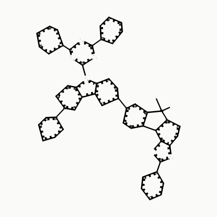 CC1(C)c2cc(-c3ccc4c(c3)c3cc(-c5ccccc5)ccc3n4-c3nc(-c4ccccc4)nc(-c4ccccc4)n3)ccc2-c2c1ccc1nc(-c3ccccc3)sc21